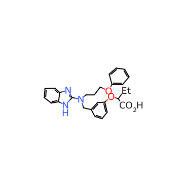 CCC(Oc1cccc(CN(CCCOc2ccccc2)c2nc3ccccc3[nH]2)c1)C(=O)O